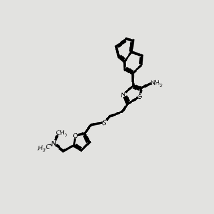 CN(C)Cc1ccc(CSCCc2nc(-c3ccc4ccccc4c3)c(N)s2)o1